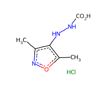 Cc1noc(C)c1NNC(=O)O.Cl